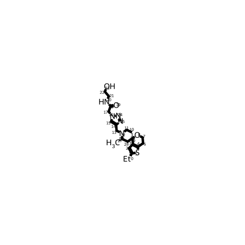 CCc1cc2c(s1)CCO[C@@]21CCN(Cc2cn(CC(=O)NCCO)nn2)[C@@H](C)C1